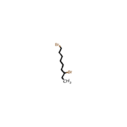 CCC(Br)CCCCCCBr